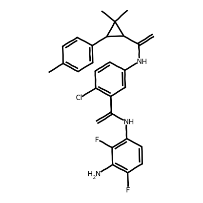 C=C(Nc1ccc(F)c(N)c1F)c1cc(NC(=C)C2C(c3ccc(C)cc3)C2(C)C)ccc1Cl